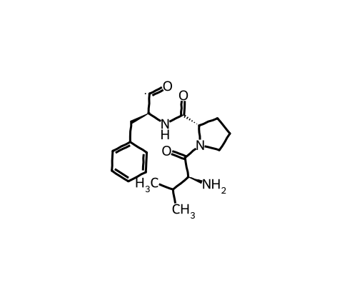 CC(C)[C@H](N)C(=O)N1CCC[C@H]1C(=O)N[C@H]([C]=O)Cc1ccccc1